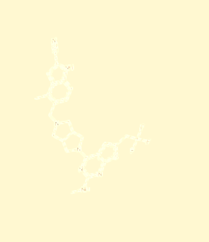 CNc1nc(N2CC3CN(Cc4ccc5[nH]c(C#N)cc5c4C)CC3C2)c2cc(CC(F)(F)F)sc2n1